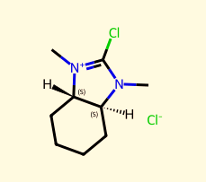 CN1C(Cl)=[N+](C)[C@H]2CCCC[C@@H]21.[Cl-]